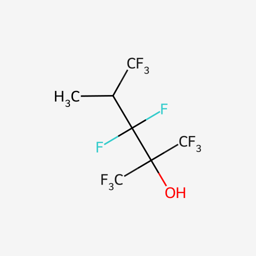 CC(C(F)(F)F)C(F)(F)C(O)(C(F)(F)F)C(F)(F)F